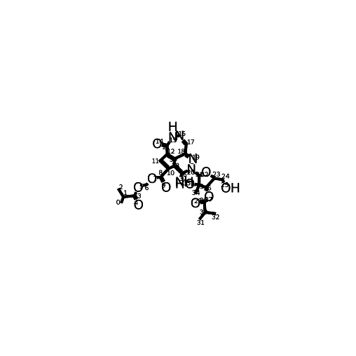 CC(C)C(=O)OCOC(=O)c1cc2c(=O)[nH]ncc3nn(C4OC(CO)C(OC(=O)C(C)C)C4(C)O)c(N)c1c32